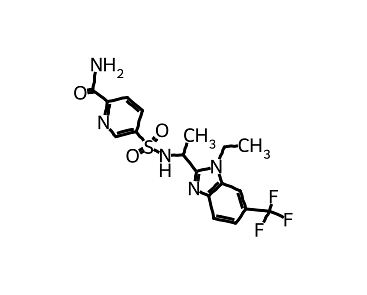 CCn1c(C(C)NS(=O)(=O)c2ccc(C(N)=O)nc2)nc2ccc(C(F)(F)F)cc21